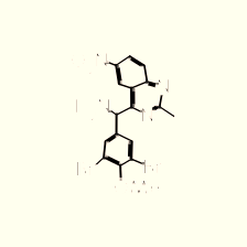 COc1c(Br)cc(C(N)c2nc(C)nc3ccc([N+](=O)[O-])cc23)cc1Br